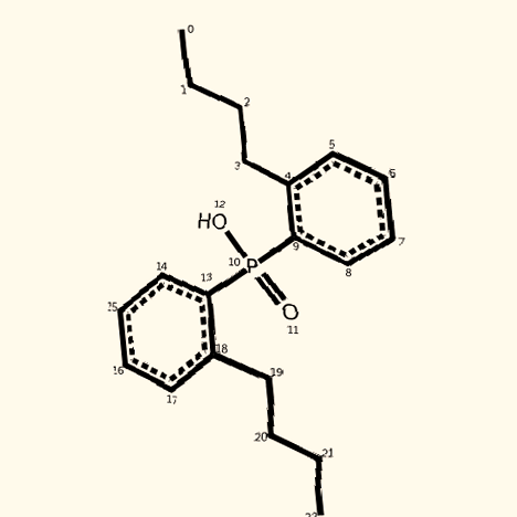 CCCCc1ccccc1P(=O)(O)c1ccccc1CCCC